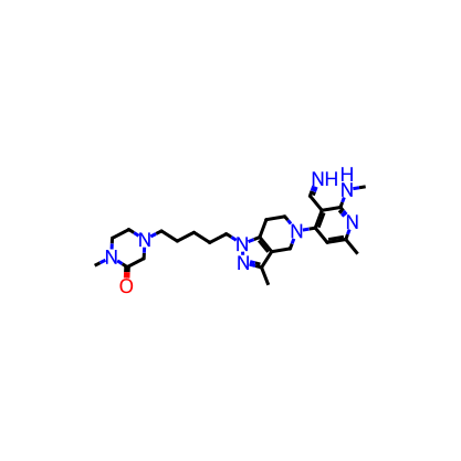 CNc1nc(C)cc(N2CCc3c(c(C)nn3CCCCCN3CCN(C)C(=O)C3)C2)c1C=N